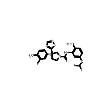 COc1ccc(OC(F)F)cc1NC(=O)N1CC[C@](c2ccc(C)c(F)c2)(c2ncns2)C1